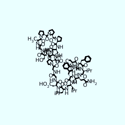 CC(C)C[C@H](NC(=O)[C@H](CC(C)C)NC(=O)[C@H](Cc1c[nH]c2ccccc12)NC(=O)[C@H](CCC(N)=O)NC(=O)[C@@H](NC(=O)[C@H](Cc1ccccc1)NC(=O)[C@@H](N)CC(=O)O)C(C)C)C(=O)N[C@@H](CC(=O)O)C(=O)NCC(=O)NCC(=O)N1CCC[C@H]1C(=O)N[C@@H](CO)C(=O)N[C@@H](CO)C(=O)NCC(=O)N[C@@H](C)C(=O)N1CCC[C@H]1C(=O)N1CCC[C@H]1C(=O)N1CCC[C@H]1C(=O)N[C@@H](CO)C(N)=O